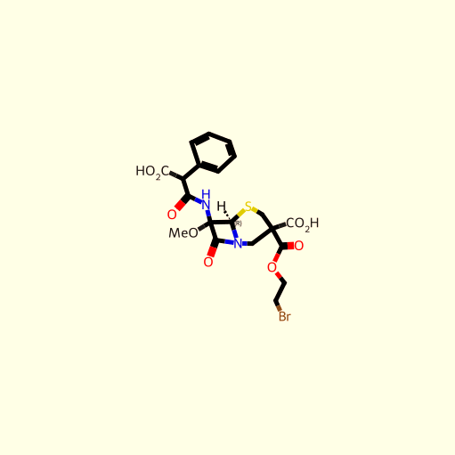 COC1(NC(=O)C(C(=O)O)c2ccccc2)C(=O)N2CC(C(=O)O)(C(=O)OCCBr)CS[C@@H]21